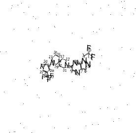 FC(F)Cn1ncc2ncc(N3CCC4(CCCN(c5cncc(C(F)(F)F)c5)C4)CC3)nc21